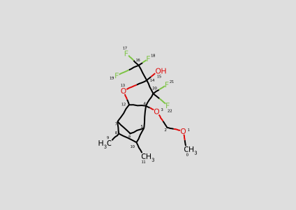 COCOC12C3CC(C(C)C3C)C1OC(O)(C(F)(F)F)C2(F)F